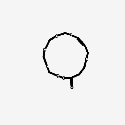 O=C1CCCC/C=C\CCCCCCCCCO1